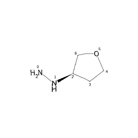 NN[C@@H]1CCOC1